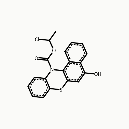 CC(Cl)OC(=O)N1c2ccccc2Sc2cc(O)c3ccccc3c21